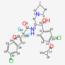 O=C(NC(CN1CCCC1)C(O)c1ccc(OC2CC2)c(Cl)c1)C(F)(F)c1cc2cc(Cl)ccc2o1